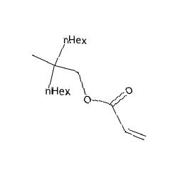 C=CC(=O)OCC(C)(CCCCCC)CCCCCC